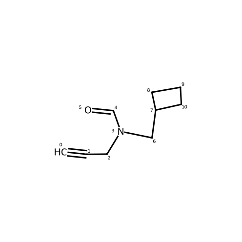 C#CCN(C=O)CC1CCC1